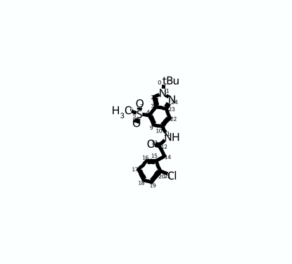 CC(C)(C)n1cc2c(S(C)(=O)=O)cc(NC(=O)Cc3ccccc3Cl)cc2n1